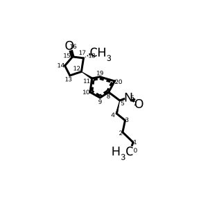 CCCCC[C@H](N=O)c1ccc([C@H]2CCC(=O)[C@@H]2C)cc1